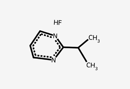 CC(C)c1ncccn1.F